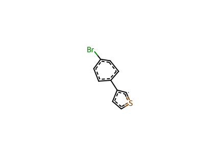 Brc1ccc(-c2[c]scc2)cc1